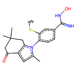 CCCSc1cc(C(=N)NO)ccc1-n1c(C)cc2c1CC(C)(C)CC2=O